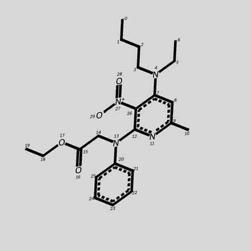 CCCCN(CC)c1cc(C)nc(N(CC(=O)OCC)c2ccccc2)c1[N+](=O)[O-]